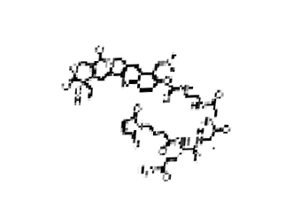 CC[C@@]1(O)C(=O)OCc2c1cc1n(c2=O)Cc2cc3c(CN(C)C)c(OC(=O)NCCNC(=O)[C@H](C)NC(=O)[C@H](C)NC(=O)[C@H](CCC(N)=O)NC(=O)CCCN4C(=O)C=CC4=O)ccc3nc2-1